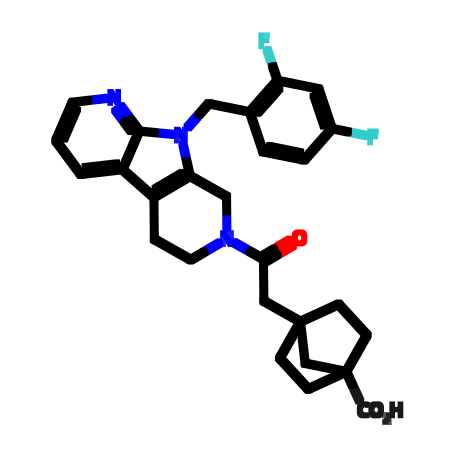 O=C(CC12CCC(C(=O)O)(CC1)C2)N1CCc2c(n(Cc3ccc(F)cc3F)c3ncccc23)C1